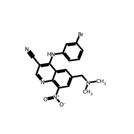 CN(C)Cc1cc([N+](=O)[O-])c2ncc(C#N)c(Nc3cccc(Br)c3)c2c1